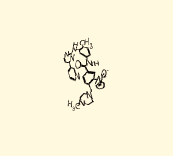 Cc1ccc(NC(=O)c2ccc(CN3CCN(C)CC3)c([N+](=O)[O-])c2)cc1Nc1nccc(-c2cccnc2)n1